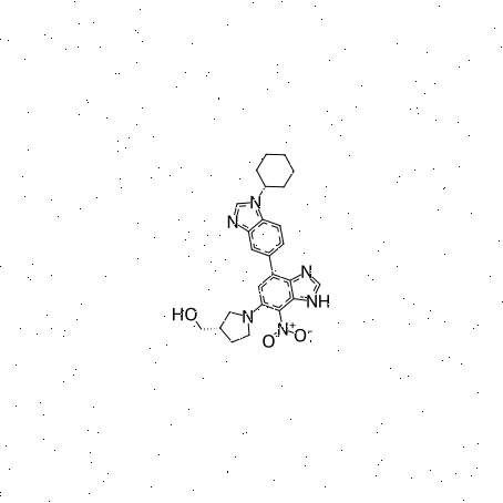 O=[N+]([O-])c1c(N2CC[C@H](CO)C2)cc(-c2ccc3c(c2)ncn3C2CCCCC2)c2nc[nH]c12